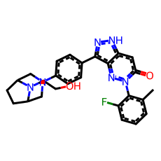 Cc1cccc(F)c1-n1nc2c(-c3ccc(N4CC5CCC(C4)N5CCO)cc3)n[nH]c2cc1=O